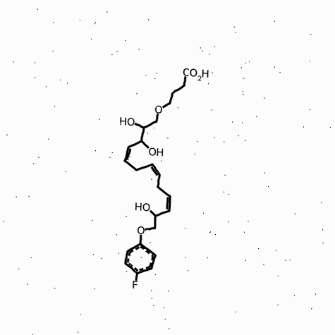 O=C(O)CCCOCC(O)C(O)/C=C\C/C=C\C/C=C\C(O)COc1ccc(F)cc1